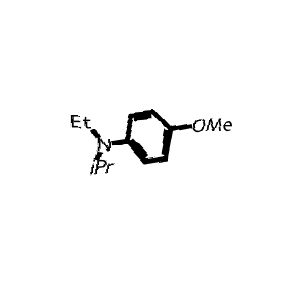 CCN(c1ccc(OC)cc1)C(C)C